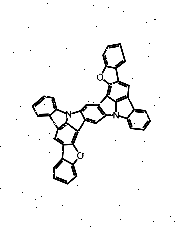 c1ccc2c(c1)oc1c2cc2c3ccccc3n3c4cc5c6c7oc8ccccc8c7cc7c8ccccc8n(c5cc4c1c23)c76